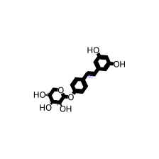 Oc1cc(O)cc(/C=C/c2ccc(OC3OC[C@@H](O)[C@H](O)[C@H]3O)cc2)c1